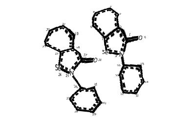 O=c1c2ccccc2[se]n1-c1ccccc1.O=c1c2ccccc2[se]n1-c1ccccc1